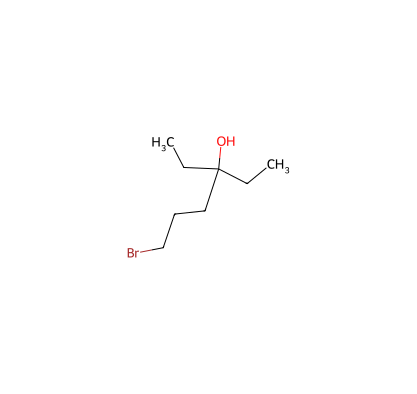 CCC(O)(CC)CCCBr